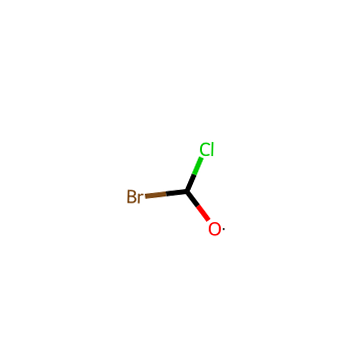 [O]C(Cl)Br